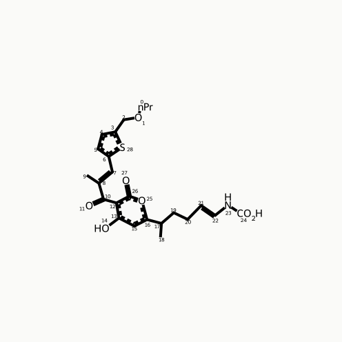 CCCOCc1ccc(C=C(C)C(=O)c2c(O)cc(C(C)CCC=CNC(=O)O)oc2=O)s1